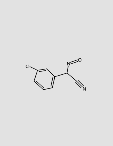 N#CC(N=O)c1cccc(Cl)c1